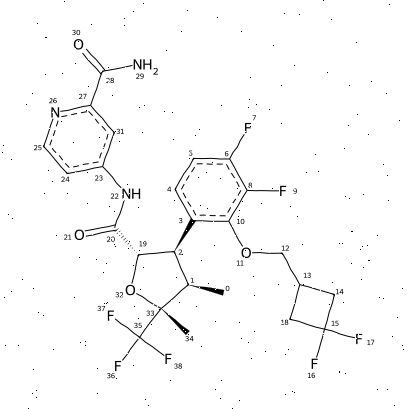 C[C@@H]1[C@H](c2ccc(F)c(F)c2OCC2CC(F)(F)C2)[C@@H](C(=O)Nc2ccnc(C(N)=O)c2)O[C@@]1(C)C(F)(F)F